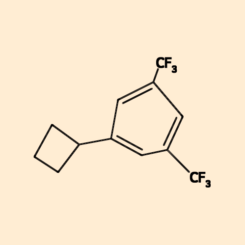 FC(F)(F)c1cc(C2CCC2)cc(C(F)(F)F)c1